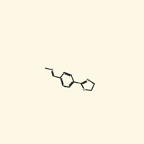 CN=Cc1ccc(C2=NCCO2)cc1